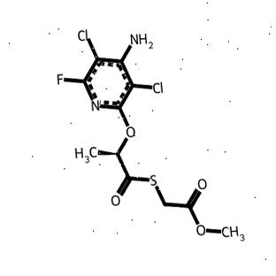 COC(=O)CSC(=O)[C@@H](C)Oc1nc(F)c(Cl)c(N)c1Cl